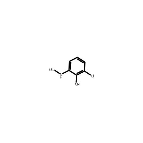 CC(C)(C)Nc1cccc(Cl)c1C#N